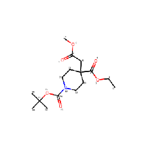 CCOC(=O)C1(CC(=O)OC)CCN(C(=O)OC(C)(C)C)CC1